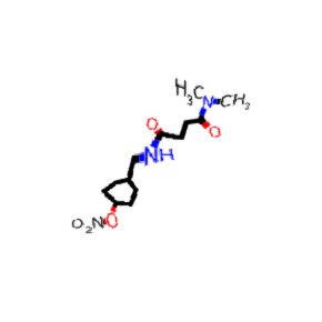 CN(C)C(=O)CCC(=O)NCC1CCC(O[N+](=O)[O-])CC1